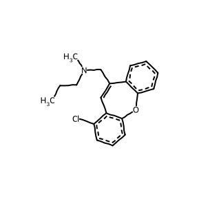 CCCN(C)CC1=Cc2c(Cl)cccc2Oc2ccccc21